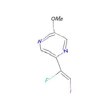 COc1cnc(/C(F)=C/I)cn1